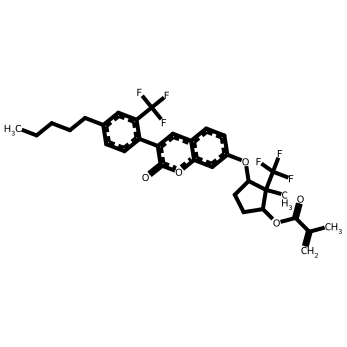 C=C(C)C(=O)OC1CCC(Oc2ccc3cc(-c4ccc(CCCCC)cc4C(F)(F)F)c(=O)oc3c2)C1(C)C(F)(F)F